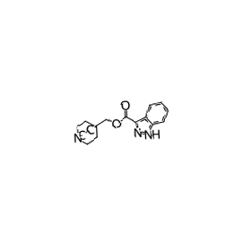 O=C(OCC12CCN(CC1)CC2)c1n[nH]c2ccccc12